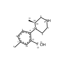 Cc1ccc(N2CCNC[C@@H]2C)c(F)c1.Cl